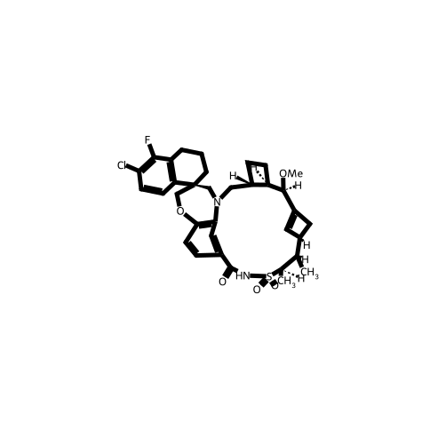 CO[C@H]1C2=C[C@@H](C2)[C@H](C)[C@@H](C)S(=O)(=O)NC(=O)c2ccc3c(c2)N(C[C@@H]2CC[C@H]21)C[C@@]1(CCCc2c1ccc(Cl)c2F)CO3